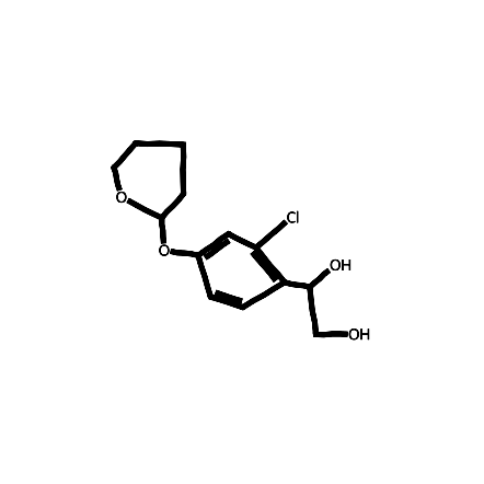 OCC(O)c1ccc(OC2CCCCO2)cc1Cl